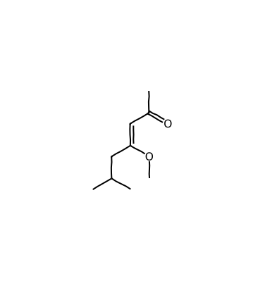 CO/C(=C\C(C)=O)CC(C)C